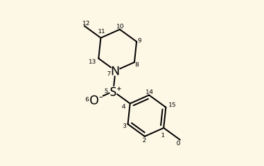 Cc1ccc([S+]([O-])N2CCCC(C)C2)cc1